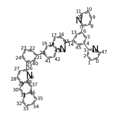 c1ccc(-c2cc(-c3ccccn3)cc(-c3ccc4cc(-c5cccc(-c6ccc7cc8ccccc8cc7n6)c5)ccc4n3)c2)nc1